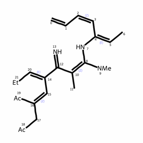 C=C/C=C\C(=C/C)N/C(NC)=C(/C)C(=N)C(/C=C(/CC(C)=O)C(C)=O)=C/CC